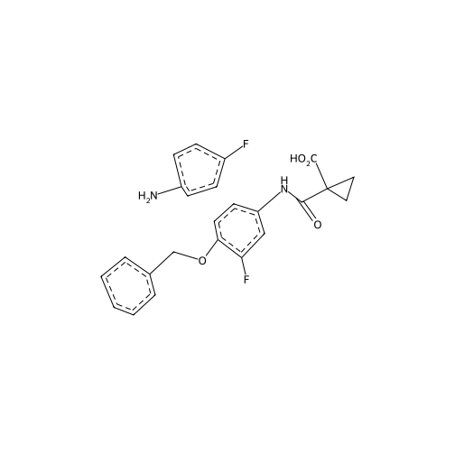 Nc1ccc(F)cc1.O=C(O)C1(C(=O)Nc2ccc(OCc3ccccc3)c(F)c2)CC1